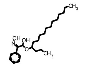 CCCCCCCCCCCCC(CCC)OC(O)C(=NO)c1ccccc1